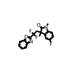 CN1C(=O)C(C)(CC(F)(F)c2nc3ccccc3o2)c2cc(F)ccc21